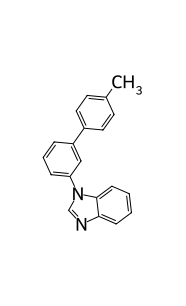 Cc1ccc(-c2cccc(-n3cnc4ccccc43)c2)cc1